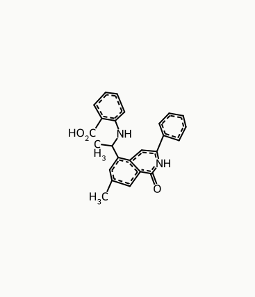 Cc1cc(C(C)Nc2ccccc2C(=O)O)c2cc(-c3ccccc3)[nH]c(=O)c2c1